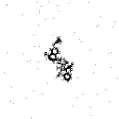 CN(C)c1ccccc1C(NC(=O)CNc1ccc(F)c2c1CCN(CC1CC1)C2)C(F)(F)F